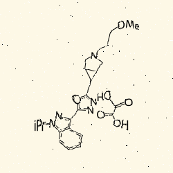 COCCCN1CC2C(C1)C2c1nnc(-c2nn(C(C)C)c3ccccc23)o1.O=C(O)C(=O)O